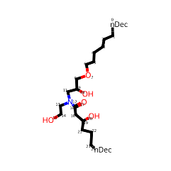 CCCCCCCCCCCCCCCCOCC(O)CN(CCO)C(=O)CC(O)CCCCCCCCCCCCC